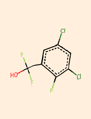 OC(F)(F)c1cc(Cl)cc(Cl)c1F